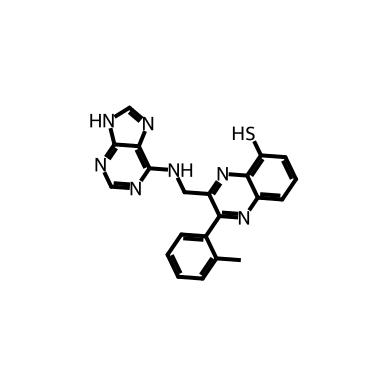 Cc1ccccc1-c1nc2cccc(S)c2nc1CNc1ncnc2[nH]cnc12